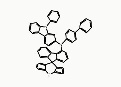 c1ccc(-c2ccc(N(c3ccc4c5ccccc5n(-c5ccccc5)c4c3)c3cccc4c3-c3ccccc3C43c4ccccc4Oc4ccccc43)cc2)cc1